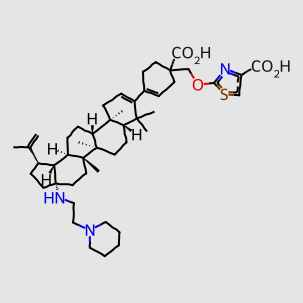 C=C(C)[C@@H]1CC[C@]2(NCCN3CCCCC3)CC[C@]3(C)[C@H](CC[C@@H]4[C@@]5(C)CC=C(C6=CCC(COc7nc(C(=O)O)cs7)(C(=O)O)CC6)C(C)(C)[C@@H]5CC[C@]43C)[C@@H]12